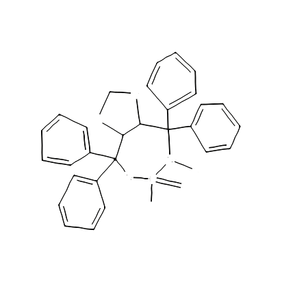 OP1(=S)NC(c2ccccc2)(c2ccccc2)C2OCOC2C(c2ccccc2)(c2ccccc2)N1S